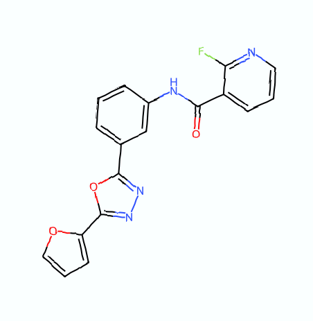 O=C(Nc1cccc(-c2nnc(-c3ccco3)o2)c1)c1cccnc1F